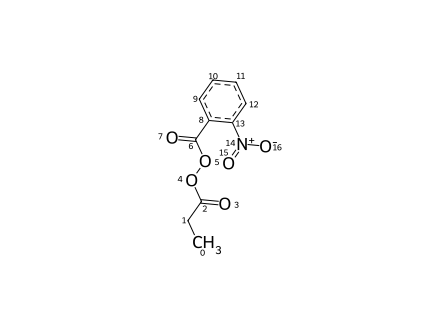 CCC(=O)OOC(=O)c1ccccc1[N+](=O)[O-]